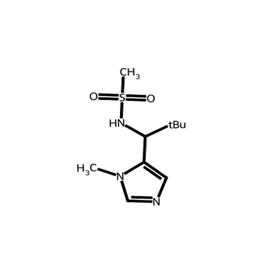 Cn1cncc1C(NS(C)(=O)=O)C(C)(C)C